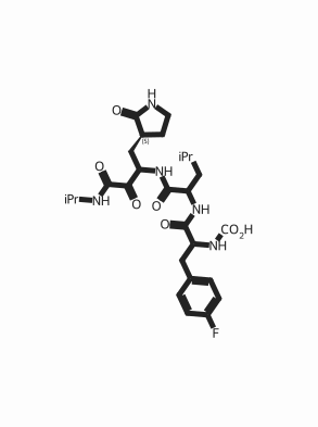 CC(C)CC(NC(=O)C(Cc1ccc(F)cc1)NC(=O)O)C(=O)NC(C[C@@H]1CCNC1=O)C(=O)C(=O)NC(C)C